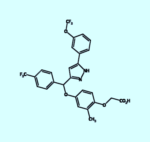 Cc1cc(OC(c2ccc(C(F)(F)F)cc2)c2cc(-c3cccc(OC(F)(F)F)c3)[nH]n2)ccc1OCC(=O)O